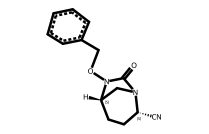 N#C[C@@H]1CC[C@H]2CN1C(=O)N2OCc1ccccc1